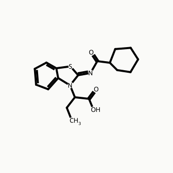 CCC(C(=O)O)n1c(=NC(=O)C2CCCCC2)sc2ccccc21